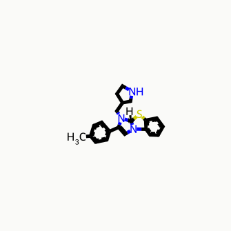 Cc1ccc(C2=CN3c4ccccc4S[C@H]3N2CC2CCNC2)cc1